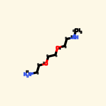 CNCCOCCOCCN